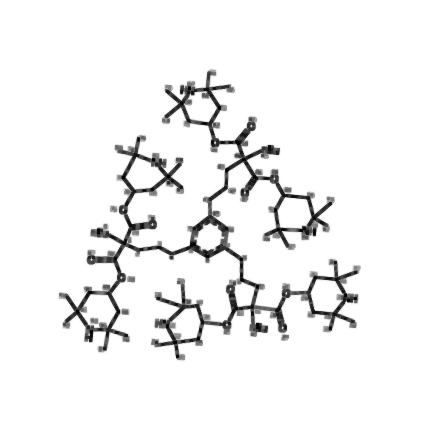 CCCCC(CCCc1cc(CCCC(CCCC)(C(=O)OC2CC(C)(C)NC(C)(C)C2)C(=O)OC2CC(C)(C)NC(C)(C)C2)cc(CCCC(CCCC)(C(=O)OC2CC(C)(C)NC(C)(C)C2)C(=O)OC2CC(C)(C)NC(C)(C)C2)c1)(C(=O)OC1CC(C)(C)NC(C)(C)C1)C(=O)OC1CC(C)(C)NC(C)(C)C1